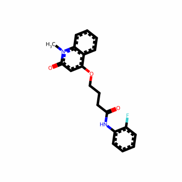 Cn1c(=O)cc(OCCCC(=O)Nc2ccccc2F)c2ccccc21